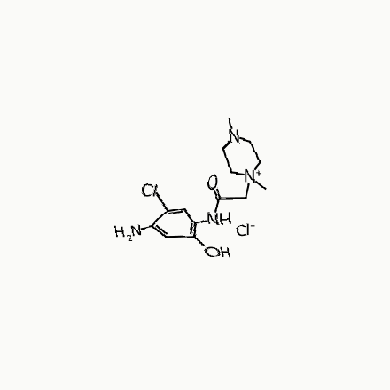 CN1CC[N+](C)(CC(=O)Nc2cc(Cl)c(N)cc2O)CC1.[Cl-]